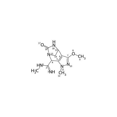 CNC(=N)C1c2c(c(OC)nn2C)C2CN1C(=O)N2